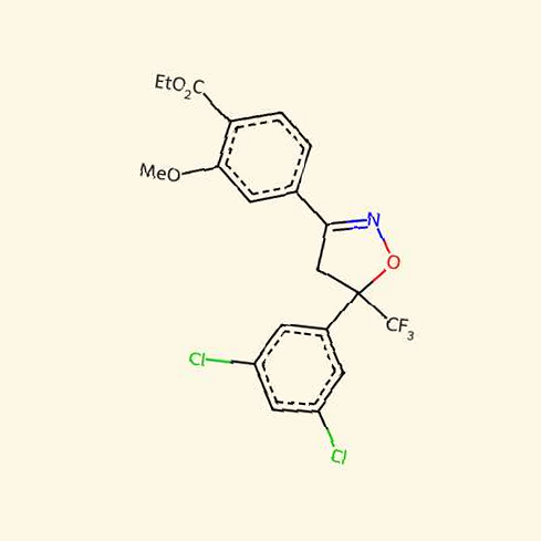 CCOC(=O)c1ccc(C2=NOC(c3cc(Cl)cc(Cl)c3)(C(F)(F)F)C2)cc1OC